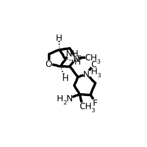 CN1CC(F)C(C)(N)CC1C1[C@H]2OC[C@@H](CN1C)[C@H]2N